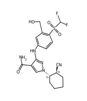 N#C[C@H]1CCCC[C@@H]1n1cc(C(N)=O)c(Nc2ccc(S(=O)(=O)C(F)F)c(CO)c2)n1